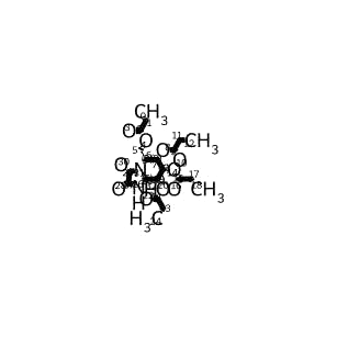 CCC(=O)OC[C@@H]1[C@@H](OC(=O)CC)[C@H](OC(=O)CC)[C@H](OC(=O)CC)[C@H]2NC(=O)C(=O)N12